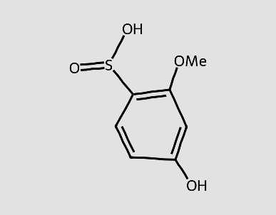 COc1cc(O)ccc1S(=O)O